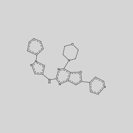 c1ccc(-n2cc(Nc3nc(N4CCOCC4)c4oc(-c5ccncc5)cc4n3)cn2)cc1